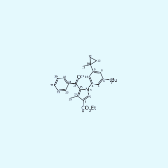 CCOC(=O)c1cn(-c2cc(C(C)(C)C)cc(C3(C)CC3)c2)c(C(=O)c2ccccc2)c1C